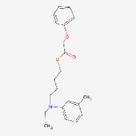 CCN(CCCCOC(=O)COc1ccccc1)c1cccc(C)c1